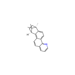 CC1(C)[C@@H]2CC[C@@]1(C)c1ccc3c(ccc4cccnc43)c12